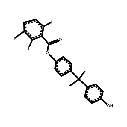 CC(C)(c1ccc(O)cc1)c1ccc(OC(=O)c2c(I)ccc(I)c2I)cc1